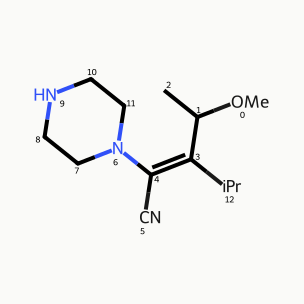 COC(C)C(=C(C#N)N1CCNCC1)C(C)C